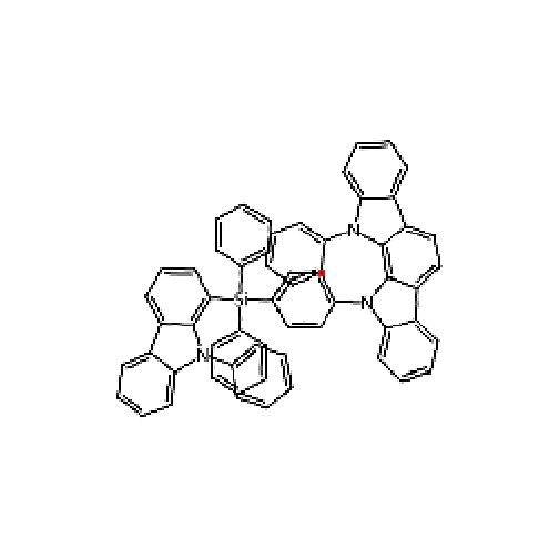 c1ccc(-n2c3ccccc3c3cccc([Si](c4ccccc4)(c4ccccc4)c4ccc(-n5c6ccccc6c6ccc7c8ccccc8n(-c8ccccc8)c7c65)cc4)c32)cc1